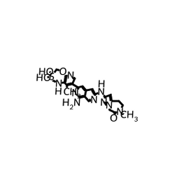 Cc1c(-c2cc3cc(Nc4cc5n(n4)CC(=O)N(C)CC5)ncc3c(N)n2)cnc2c1NCS(O)(O)CO2